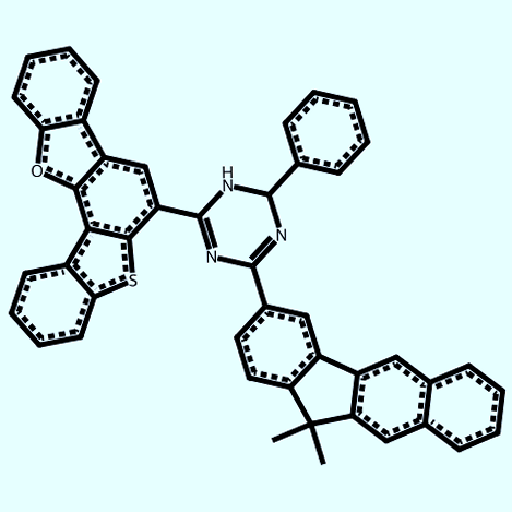 CC1(C)c2ccc(C3=NC(c4ccccc4)NC(c4cc5c6ccccc6oc5c5c4sc4ccccc45)=N3)cc2-c2cc3ccccc3cc21